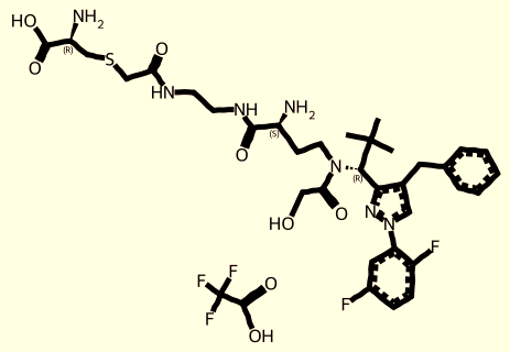 CC(C)(C)[C@H](c1nn(-c2cc(F)ccc2F)cc1Cc1ccccc1)N(CC[C@H](N)C(=O)NCCNC(=O)CSC[C@H](N)C(=O)O)C(=O)CO.O=C(O)C(F)(F)F